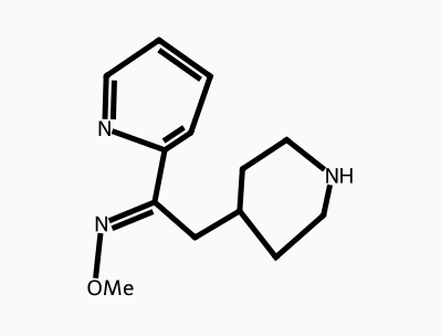 CO/N=C(\CC1CCNCC1)c1ccccn1